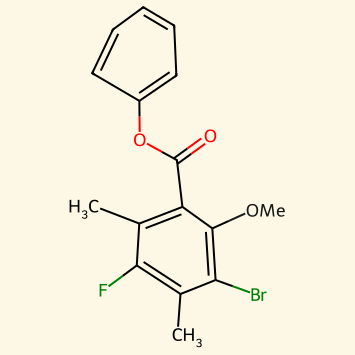 COc1c(Br)c(C)c(F)c(C)c1C(=O)Oc1ccccc1